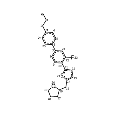 CCCc1ccc(-c2ccc(-c3ccc(CC4CCCO4)s3)c(F)c2)cc1